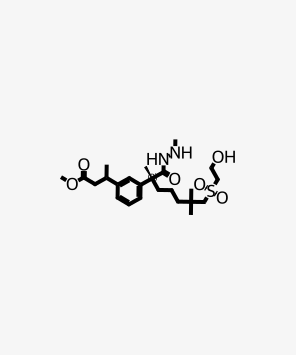 CNNC(=O)[C@](C)(CCCC(C)(C)CS(=O)(=O)CCO)c1cccc(C(C)CC(=O)OC)c1